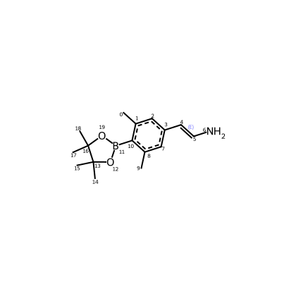 Cc1cc(/C=C/N)cc(C)c1B1OC(C)(C)C(C)(C)O1